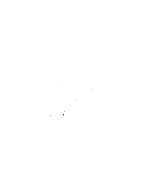 C[C@H](NC(=S)N(Cc1ccccc1)c1ccccc1)C(=O)[O-].[Na+]